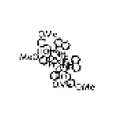 CCCC(CCC)(C(=O)N[C@@H](c1cccc2ccccc12)C(O)(Cc1cccc(OC)c1)Cc1cccc(OC)c1)C(=O)N[C@@H](c1cccc2ccccc12)C(O)(Cc1cccc(OC)c1)Cc1cccc(OC)c1